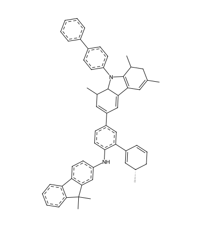 CC1=CC2=C(C(C)C1)N(c1ccc(-c3ccccc3)cc1)C1C2=CC(c2ccc(Nc3ccc4c(c3)C(C)(C)c3ccccc3-4)c(C3=C[C@@H](C)CC=C3)c2)=CC1C